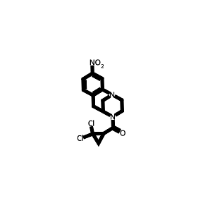 O=C(C1CC1(Cl)Cl)N1CCN2CC1Cc1ccc([N+](=O)[O-])cc12